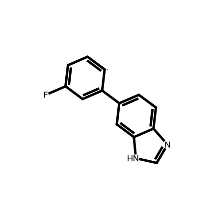 Fc1cc[c]c(-c2ccc3nc[nH]c3c2)c1